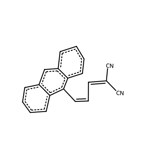 N#CC(C#N)=C/C=C\c1c2ccccc2cc2ccccc12